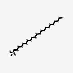 CCCCCCCCCCCCCCCCCCCC/C=C/[N+](C)(C)C